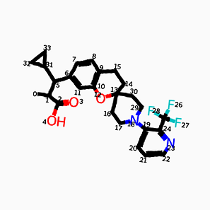 CC(C(=O)O)C(c1ccc2c(c1)OC1(CC2)CCN(c2cccnc2C(F)(F)F)CC1)C1CC1